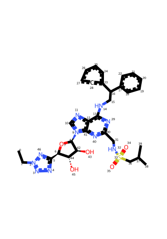 CCn1nnc([C@H]2O[C@@H](n3cnc4c(NCC(c5ccccc5)c5ccccc5)nc(CNS(=O)(=O)CC(C)C)nc43)[C@@H](O)[C@@H]2O)n1